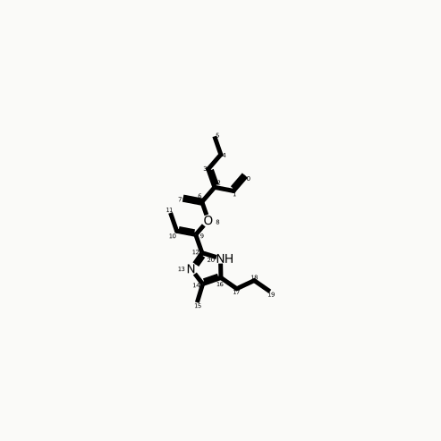 C=C/C(=C\CC)C(=C)O/C(=C\C)c1nc(C)c(CCC)[nH]1